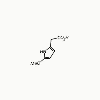 COc1ccc(CC(=O)O)[nH]1